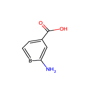 Nc1bccc(C(=O)O)c1